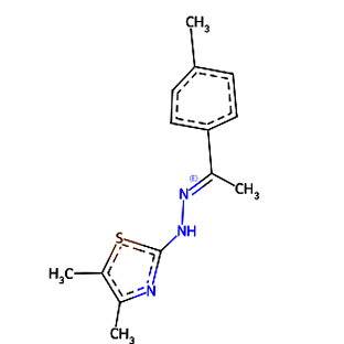 C/C(=N\Nc1nc(C)c(C)s1)c1ccc(C)cc1